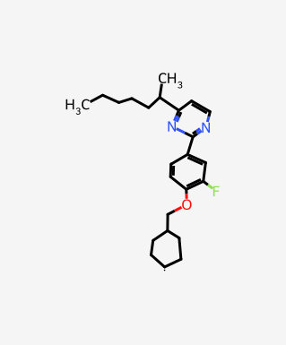 CCCCCC(C)c1ccnc(-c2ccc(OCC3CC[CH]CC3)c(F)c2)n1